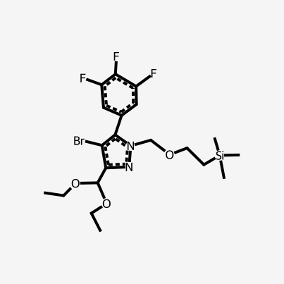 CCOC(OCC)c1nn(COCC[Si](C)(C)C)c(-c2cc(F)c(F)c(F)c2)c1Br